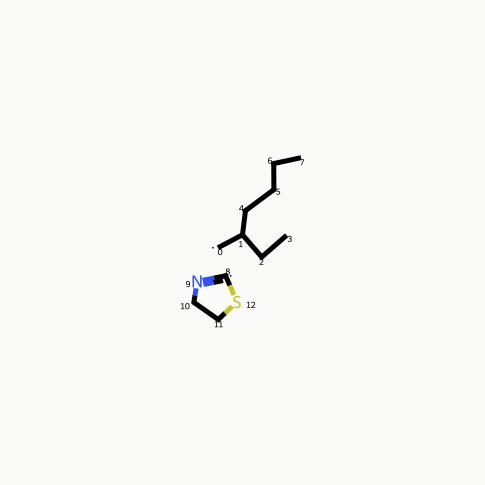 [CH2]C(CC)CCCC.[C]1=NCCS1